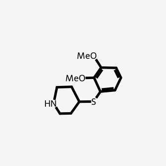 COc1cccc(SC2CCNCC2)c1OC